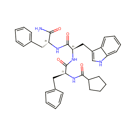 NC(=O)[C@@H](Cc1ccccc1)NC(=O)[C@@H](Cc1c[nH]c2ccccc12)NC(=O)[C@H](Cc1ccccc1)NC(=O)C1CCCC1